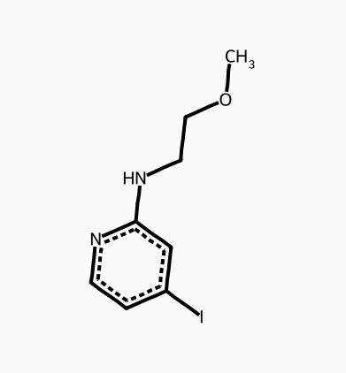 COCCNc1cc(I)ccn1